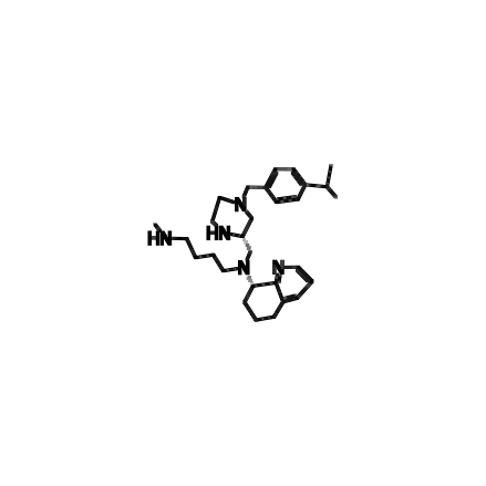 CNCCCCN(C[C@H]1CN(Cc2ccc(C(C)C)cc2)CCN1)[C@H]1CCCc2cccnc21